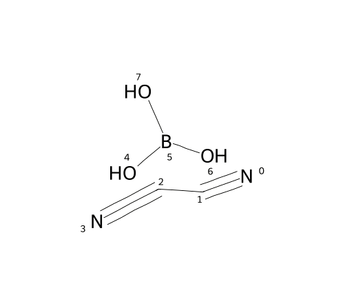 N#CC#N.OB(O)O